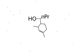 CCCC(O)C1CCC(C)=CC1C